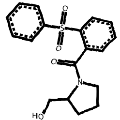 O=C(c1ccccc1S(=O)(=O)c1ccccc1)N1CCCC1CO